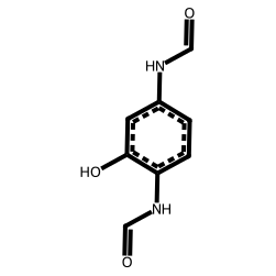 O=CNc1ccc(NC=O)c(O)c1